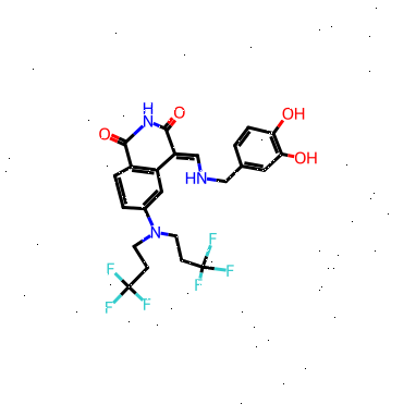 O=C1NC(=O)c2ccc(N(CCC(F)(F)F)CCC(F)(F)F)cc2/C1=C\NCc1ccc(O)c(O)c1